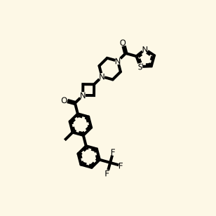 Cc1cc(C(=O)N2CC(N3CCN(C(=O)c4nccs4)CC3)C2)ccc1-c1cccc(C(F)(F)F)c1